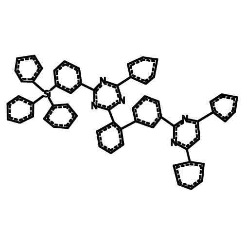 c1ccc(-c2cc(-c3ccccc3)nc(-c3cccc(-c4ccccc4-c4nc(-c5ccccc5)nc(-c5cccc([Si](c6ccccc6)(c6ccccc6)c6ccccc6)c5)n4)c3)n2)cc1